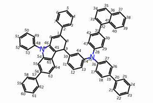 C1=C(c2ccccc2)CC(c2cccc(N(c3ccc(-c4ccccc4)cc3)c3ccc(-c4cccc5ccccc45)cc3)c2)c2c1n(-c1ccccc1)c1cc(-c3ccccc3)ccc21